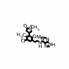 COc1c(CCNc2ncnc3[nH]cnc23)cc(Cl)c(C)c1C1CC(=O)N(C)C1